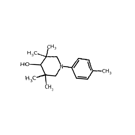 Cc1ccc(N2CC(C)(C)C(O)C(C)(C)C2)cc1